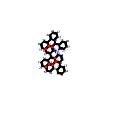 c1ccc(-c2ccc(N(c3ccccc3-c3cccc4ccccc34)c3ccccc3-c3cc4ccccc4c4ccccc34)cc2-c2ccccc2)cc1